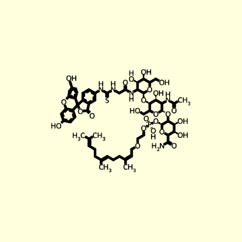 CC(=O)NC1[C@H](OC2[C@H](OP(=O)(O)OCCOC/C=C(/C)CC/C=C(\C)CCC=C(C)C)OC(C(N)=O)[C@H](O)[C@@H]2O)OC(CO)[C@@H](O[C@@H]2OC(CO)[C@H](O)[C@H](O)C2NC(=O)CNC(=S)Nc2ccc3c(c2)C(=O)OC32c3ccc(O)cc3Oc3cc(O)ccc32)[C@@H]1O